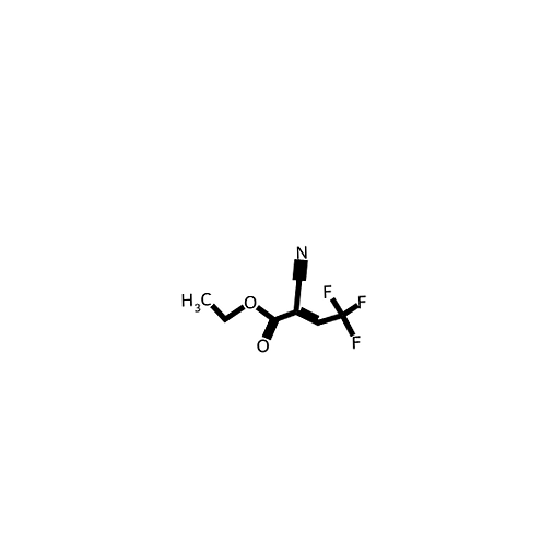 CCOC(=O)/C(C#N)=C/C(F)(F)F